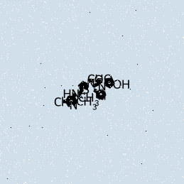 Cc1ncc(Cl)cc1N[C@@H](C)c1ccc(N(C=O)[C@@H](CC2CCCC2)C(=O)NC2CCC(O)C2)s1